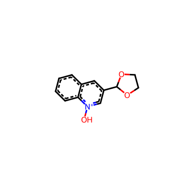 O[n+]1cc(C2OCCO2)cc2ccccc21